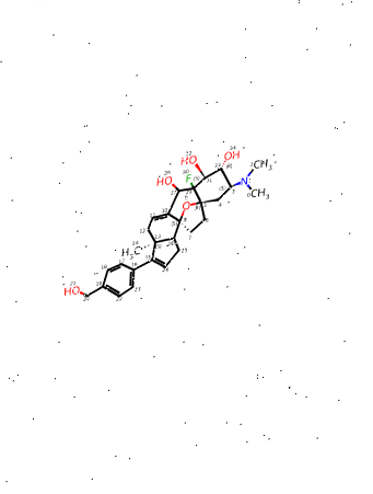 CN(C)[C@H]1C[C@@]23CC[C@@]4(O2)C(=CC[C@]2(C)C(c5ccc(CO)cc5)=CCC24)C(O)C3(F)[C@@H](O)[C@@H]1O